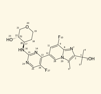 Cc1c(C(C)(C)O)nc2c(F)cc(-c3nc(N[C@@H]4CCOC[C@H]4O)ncc3F)cn12